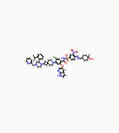 CC(C)c1ccccc1[C@@H]1CN(Cc2ccccn2)CCN1C1CC2(CCN(c3cc(Oc4cnc5[nH]ccc5c4)c(C(=O)NS(=O)(=O)c4ccc(NCC5CCC(C)(O)CC5)c([N+](=O)[O-])c4)cc3F)CC2)C1